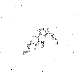 C=N/C(=C(/C)C(N)/C=C(\C)O/N=C/C)C(C)/C=N\OCC